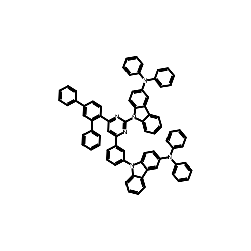 c1ccc(-c2ccc(-c3cc(-c4cccc(-n5c6ccccc6c6cc(N(c7ccccc7)c7ccccc7)ccc65)c4)nc(-n4c5ccccc5c5cc(N(c6ccccc6)c6ccccc6)ccc54)n3)c(-c3ccccc3)c2)cc1